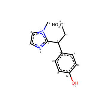 Cn1ccnc1C(CC(=O)O)c1ccc(O)cc1